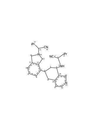 CC(C)C(C#N)NC1CC(c2cccc3c2CN(C(C#N)C(C)C)C3)Cc2ccncc21